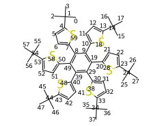 CC(C)(C)c1ccc(-c2c(-c3ccc(C(C)(C)C)s3)c(-c3ccc(C(C)(C)C)s3)c(-c3ccc(C(C)(C)C)s3)c(-c3ccc(C(C)(C)C)s3)c2-c2ccc(C(C)(C)C)s2)s1